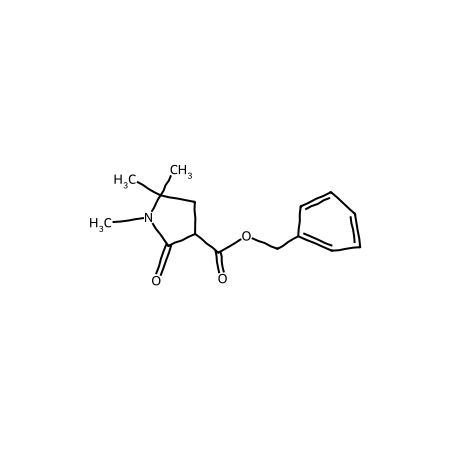 CN1C(=O)C(C(=O)OCc2ccccc2)CC1(C)C